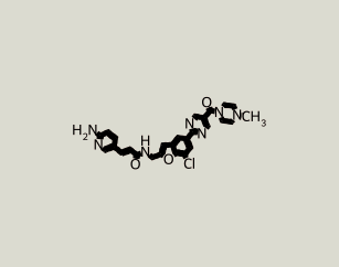 CN1CCN(C(=O)c2cnc(-c3cc(Cl)c4oc(CNC(=O)/C=C/c5ccc(N)nc5)cc4c3)nc2)CC1